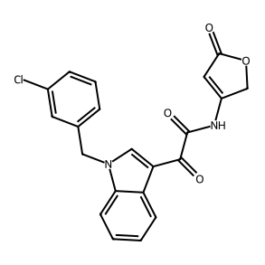 O=C1C=C(NC(=O)C(=O)c2cn(Cc3cccc(Cl)c3)c3ccccc23)CO1